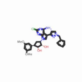 COc1cc(OC)cc([C@H]2C[C@@H](n3cc(-c4ccn(Cc5ccccc5)n4)c4c(N)nc(Cl)nc43)[C@H](O)[C@@H]2O)c1